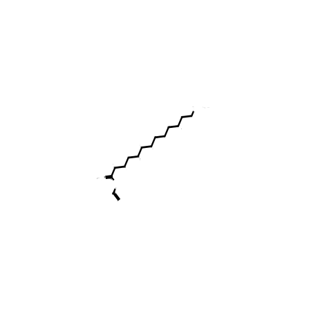 C=COC(=O)CCCCCCCCCCCCCCCCCCCCCC